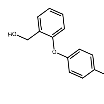 OCc1ccccc1Oc1ccc(F)cc1